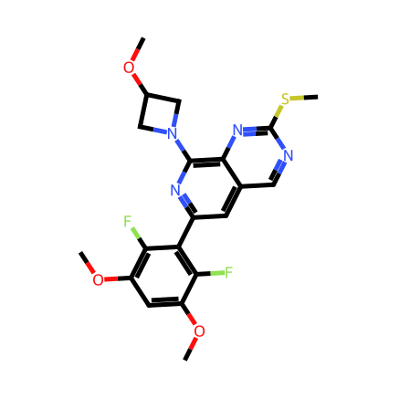 COc1cc(OC)c(F)c(-c2cc3cnc(SC)nc3c(N3CC(OC)C3)n2)c1F